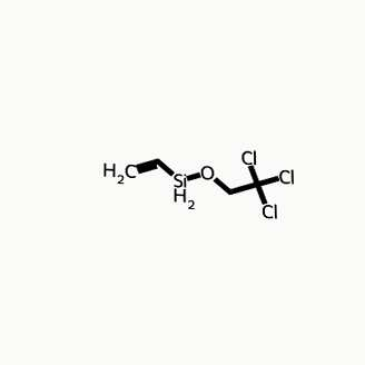 C=C[SiH2]OCC(Cl)(Cl)Cl